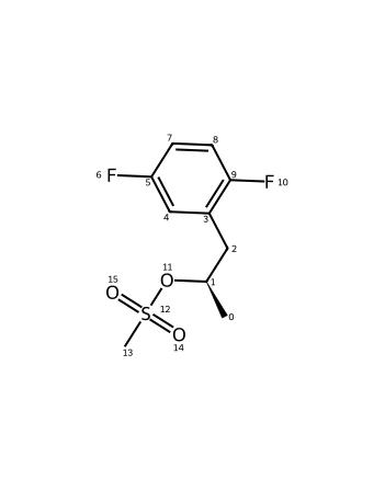 C[C@H](Cc1cc(F)ccc1F)OS(C)(=O)=O